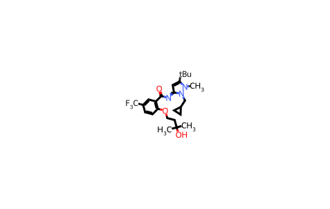 Cn1c(C(C)(C)C)c/c(=N\C(=O)c2cc(C(F)(F)F)ccc2OCCC(C)(C)O)n1CC1CC1